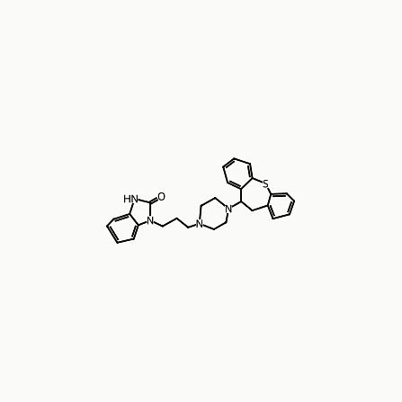 O=c1[nH]c2ccccc2n1CCCN1CCN(C2Cc3ccccc3Sc3ccccc32)CC1